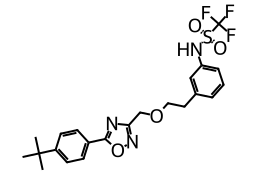 CC(C)(C)c1ccc(-c2nc(COCCc3cccc(NS(=O)(=O)C(F)(F)F)c3)no2)cc1